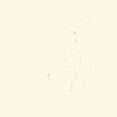 CCOC(=O)COc1cc(C)c(-c2cc(C)ccc2C)c(OCC(=O)OCC)c1C